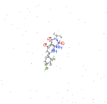 CC(C)n1c(=O)[nH]c2c(c1=O)C(=O)CC(c1ccc(F)cc1F)N2